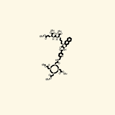 CC(C)(C)OC(=O)CC[C@H](NC(=O)N[C@@H](CCCCNC(=O)[C@H](Cc1ccc2ccccc2c1)NC(=O)c1ccc(CNC(=O)CN2CCN(CC(=O)OC(C)(C)C)CCN(CC(=O)OC(C)(C)C)CCN(CC(=O)OC(C)(C)C)CC2)nc1)C(=O)OC(C)(C)C)C(=O)OC(C)(C)C